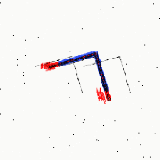 O.O.O.O.O.O.O.O.O.O.O.O.O.O.O.O.O.O.O.O.[N].[N].[N].[N].[N].[N].[N].[N].[N].[N].[N].[N].[N].[N].[N].[N].[N].[N].[N].[N].[N].[N].[N].[N].[N].[N].[N].[N].[N].[N].[N].[N].[N].[N].[N].[N].[N].[N].[N].[N].[N].[N].[N].[N].[N].[N].[N].[N].[N].[N].[N].[N].[N].[N].[N].[N].[N].[N].[N].[N].[N].[N].[N].[N].[N].[N].[N].[N].[N].[N].[N].[N].[N].[N].[N].[N].[N].[N].[N].[O]